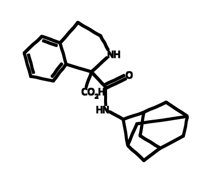 O=C(O)C1(C(=O)NC2C3CC4CC(C3)CC2C4)NCCc2ccccc21